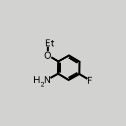 CCOc1ccc(F)cc1N